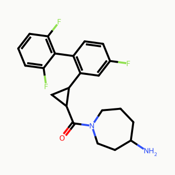 NC1CCCN(C(=O)C2CC2c2cc(F)ccc2-c2c(F)cccc2F)CC1